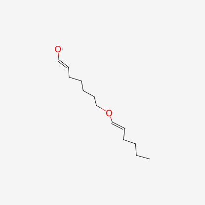 CCCCC=COCCCCCC=C[O]